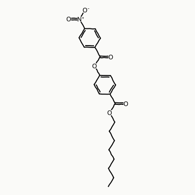 CCCCCCCCOC(=O)c1ccc(OC(=O)c2ccc([N+](=O)[O-])cc2)cc1